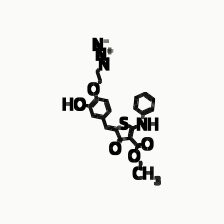 CCOC(=O)C1=C(Nc2ccccc2)S/C(=C\c2ccc(OCCN=[N+]=[N-])c(O)c2)C1=O